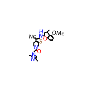 COc1ccccc1C(C)CC(=O)Nc1sc2c(c1C#N)CCN(C(=O)Cn1cc(C)nc1C)C2